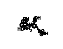 Nc1c(/N=N/c2ccc(CCCOS(=O)(=O)O)cc2SOOO)cc(S(=O)(=O)O)c2cccc(O)c12